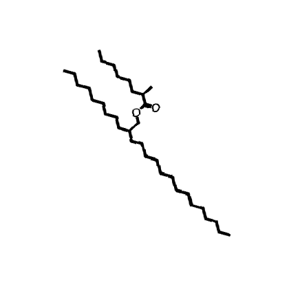 CCCCCCCCCCCCCCC(CCCCCCCCC)COC(=O)C(C)CCCCCC